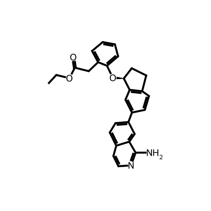 CCOC(=O)Cc1ccccc1O[C@H]1CCc2ccc(-c3ccc4ccnc(N)c4c3)cc21